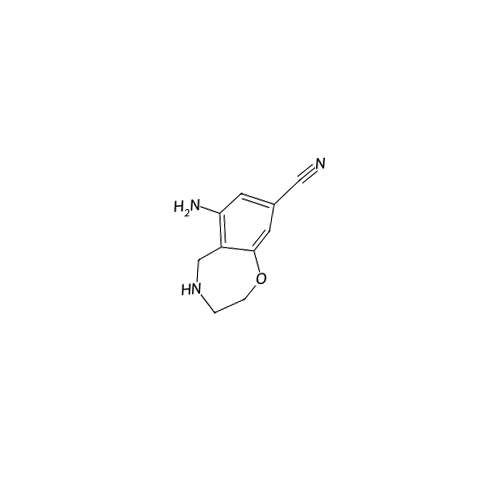 N#Cc1cc(N)c2c(c1)OCCNC2